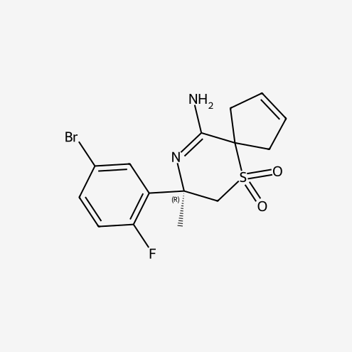 C[C@@]1(c2cc(Br)ccc2F)CS(=O)(=O)C2(CC=CC2)C(N)=N1